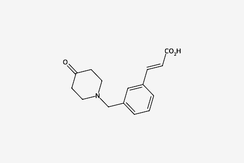 O=C(O)C=Cc1cccc(CN2CCC(=O)CC2)c1